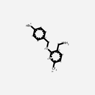 CCCCc1ccc(COc2nc(C(F)(F)F)ccc2CN)cc1